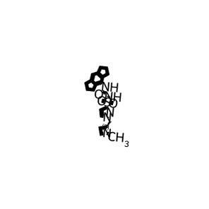 CN1CC[C@H]1Cn1ccc(S(=O)(=O)NC(=O)Nc2c3c(cc4c2CCC4)CCC3)n1